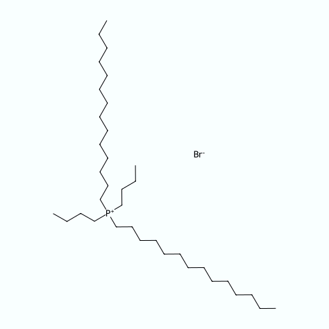 CCCCCCCCCCCCCC[P+](CCCC)(CCCC)CCCCCCCCCCCCCC.[Br-]